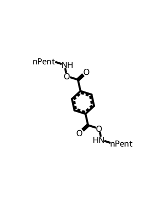 CCCCCNOC(=O)c1ccc(C(=O)ONCCCCC)cc1